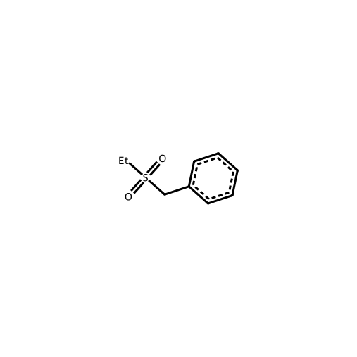 [CH2]CS(=O)(=O)Cc1ccccc1